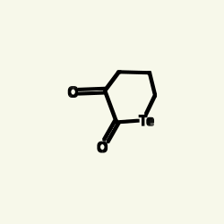 O=C1CCC[Te]C1=O